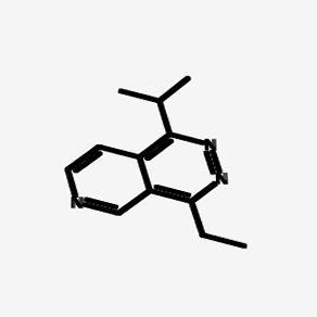 CCc1nnc(C(C)C)c2ccncc12